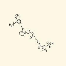 COc1ccc(CCO[C@H]2CCCC[C@H]2N2CC[C@H](OC(=O)CCCCCC(=O)N(C)CCS(=O)(=O)O)C2)cc1OC